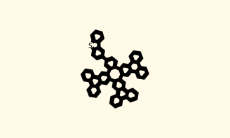 c1ccc2c(c1)sc1ccc(-c3ccc4c(c3)-c3cc5c6ccccc6c6ccccc6c5cc3-c3cc5c6ccccc6c6ccccc6c5cc3-c3cc5c6ccccc6c6ccccc6c5cc3-4)cc12